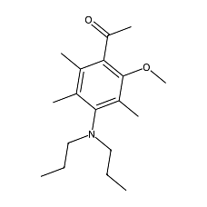 CCCN(CCC)c1c(C)c(C)c(C(C)=O)c(OC)c1C